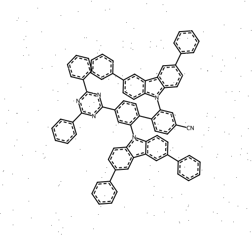 N#Cc1ccc(-c2ccc(-c3nc(-c4ccccc4)nc(-c4ccccc4)n3)cc2-n2c3ccc(-c4ccccc4)cc3c3cc(-c4ccccc4)ccc32)c(-n2c3ccc(-c4ccccc4)cc3c3cc(-c4ccccc4)ccc32)c1